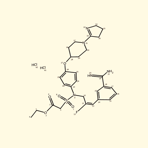 CCOC(=O)CS(=O)(=O)N(C/C(F)=C\c1cccc(C(=N)N)c1)c1ccc(OC2CCN(C3=NCCC3)CC2)cc1.Cl.Cl